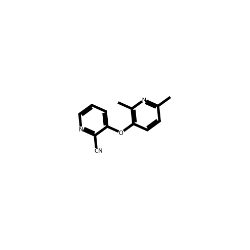 Cc1ccc(Oc2cccnc2C#N)c(C)n1